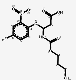 CCCCOC(=O)NC(CC(=O)O)Oc1ccc(F)cc1[N+](=O)[O-]